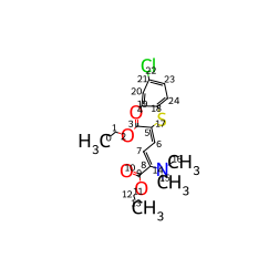 CCOC(=O)C(=CC=C(C(=O)OCC)N(C)C)Sc1ccc(Cl)cc1